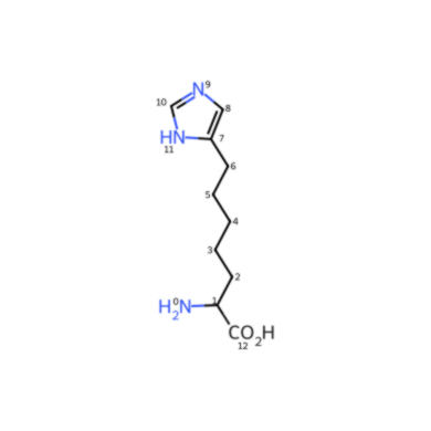 NC(CCCCCc1cnc[nH]1)C(=O)O